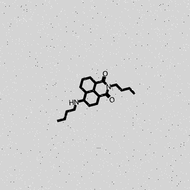 CCCCNC1CCC2C(=O)N(CCCC)C(=O)C3CCCC1C32